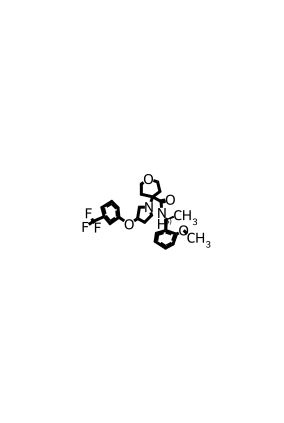 COc1ccccc1[C@H](C)NC(=O)C1(N2CCC(Oc3cccc(C(F)(F)F)c3)C2)CCOCC1